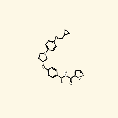 C[C@H](NC(=O)c1ccns1)c1ccc(O[C@@H]2CCN(c3ccc(OCC4CC4)cc3)C2)cc1